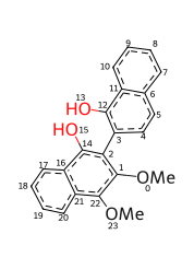 COc1c(-c2ccc3ccccc3c2O)c(O)c2ccccc2c1OC